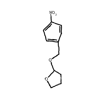 O=[N+]([O-])c1ccc(COC2CCCO2)cc1